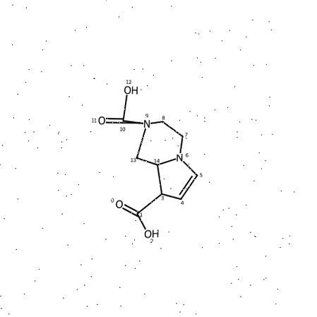 O=C(O)C1C=CN2CCN(C(=O)O)CC12